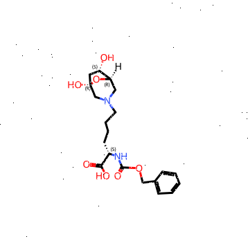 O=C(N[C@@H](CCCCN1C[C@H]2O[C@](O)(C[C@@H]2O)C1)C(=O)O)OCc1ccccc1